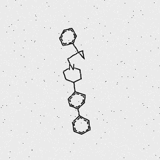 c1ccc(-c2ccc(C3CCN(CC4(c5ccccc5)CC4)CC3)cc2)cc1